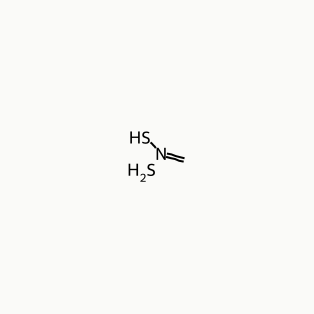 C=NS.S